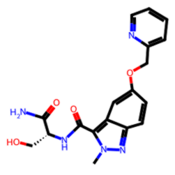 Cn1nc2ccc(OCc3ccccn3)cc2c1C(=O)N[C@H](CO)C(N)=O